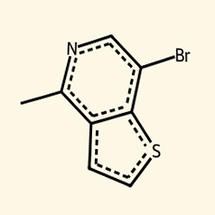 Cc1ncc(Br)c2sccc12